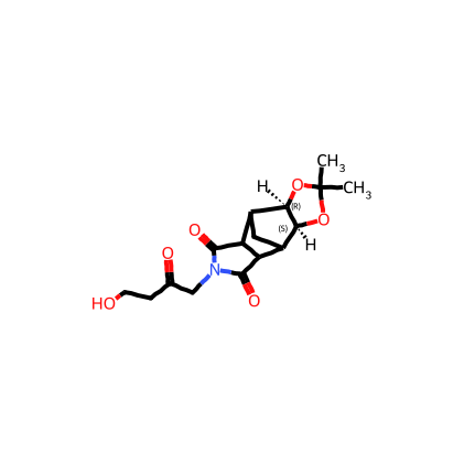 CC1(C)O[C@@H]2C3CC(C4C(=O)N(CC(=O)CCO)C(=O)C43)[C@@H]2O1